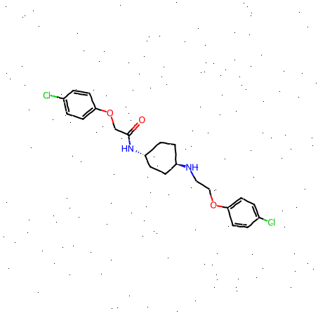 O=C(COc1ccc(Cl)cc1)N[C@H]1CC[C@H](NCCOc2ccc(Cl)cc2)CC1